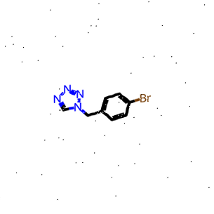 Brc1ccc(Cn2[c]nnn2)cc1